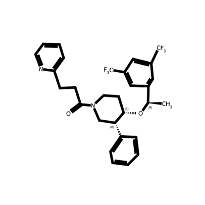 C[C@@H](O[C@H]1CCN(C(=O)CCc2ccccn2)C[C@H]1c1ccccc1)c1cc(C(F)(F)F)cc(C(F)(F)F)c1